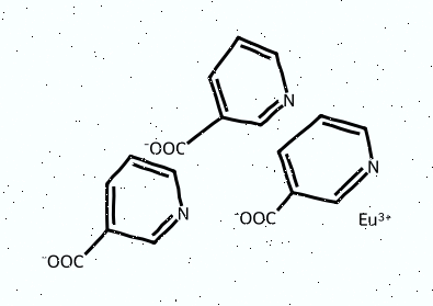 O=C([O-])c1cccnc1.O=C([O-])c1cccnc1.O=C([O-])c1cccnc1.[Eu+3]